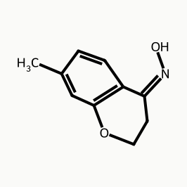 Cc1ccc2c(c1)OCC/C2=N/O